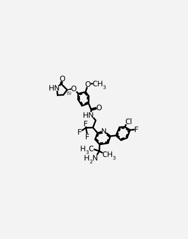 COc1cc(C(=O)NCC(c2cc(C(C)(C)N)cc(-c3ccc(F)c(Cl)c3)n2)C(F)(F)F)ccc1O[C@H]1CCNC1=O